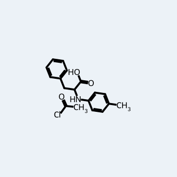 CC(=O)Cl.Cc1ccc(NC(Cc2ccccc2)C(=O)O)cc1